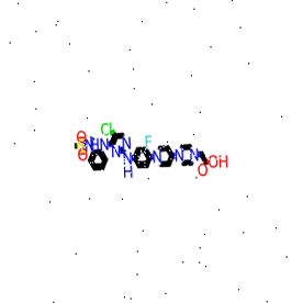 CN(c1ccccc1Nc1nc(Nc2ccc(N3CCC(N4CCN(CC(=O)O)CC4)CC3)c(F)c2)ncc1Cl)S(C)(=O)=O